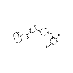 O=C(CC12CC3CC(CC(C3)C1)C2)NCC(=O)N1CCN(Cc2cc(Br)ccc2F)CC1